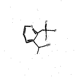 CC(Br)c1cccnc1C(F)(F)F